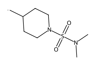 [CH2]C1CCN(S(=O)(=O)N(C)C)CC1